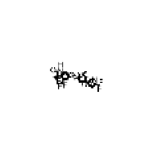 CC1CC(O)(c2ccc(C(F)F)nc2)CC(COc2cc3c(c(C(F)(F)F)c2)C2(CC2)C(=O)N3)N1